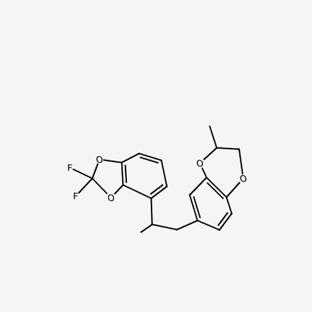 CC1COc2ccc(CC(C)c3cccc4c3OC(F)(F)O4)cc2O1